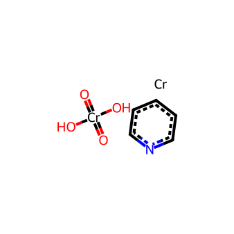 [Cr].[O]=[Cr](=[O])([OH])[OH].c1ccncc1